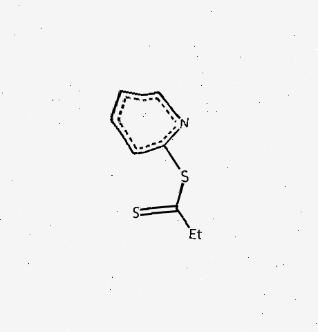 CCC(=S)Sc1ccccn1